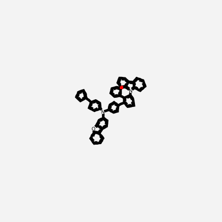 c1ccc(-c2ccc(N(c3ccc(-c4cccc(-n5c6ccccc6c6ccccc65)c4-c4ccccc4)cc3)c3ccc4c(c3)oc3ccccc34)cc2)cc1